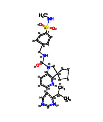 CNS(=O)(=O)c1ccc(CNC(=O)N2CC3(CCCC3)c3nc(-c4cncnc4C(C)C)ccc32)cc1